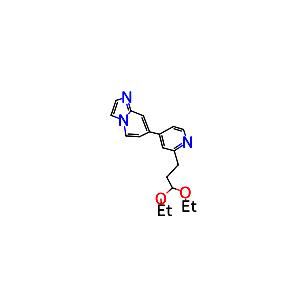 CCOC(CCc1cc(-c2ccn3ccnc3c2)ccn1)OCC